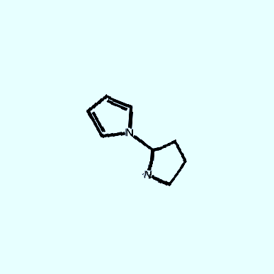 c1ccn(C2CCC[N]2)c1